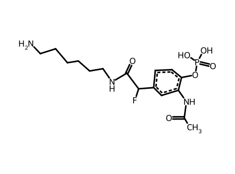 CC(=O)Nc1cc(C(F)C(=O)NCCCCCCN)ccc1OP(=O)(O)O